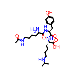 CC(=O)NCCCC[C@H](N)C(=O)N[C@@H](Cc1ccc(O)cc1)C(=O)N[C@@H](CCCCNC(C)C)C(=O)O